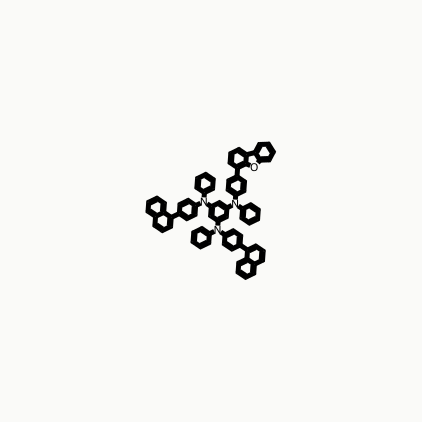 c1ccc(N(c2ccc(-c3cccc4ccccc34)cc2)c2cc(N(c3ccccc3)c3ccc(-c4cccc5ccccc45)cc3)cc(N(c3ccccc3)c3ccc(-c4cccc5c4oc4ccccc45)cc3)c2)cc1